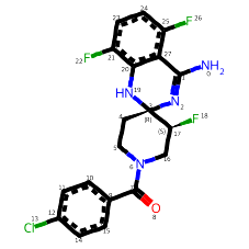 NC1=N[C@@]2(CCN(C(=O)c3ccc(Cl)cc3)C[C@@H]2F)Nc2c(F)ccc(F)c21